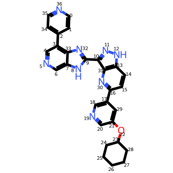 c1cc(-c2cncc3[nH]c(-c4n[nH]c5ccc(-c6cncc(OC7CCCCC7)c6)nc45)nc23)ccn1